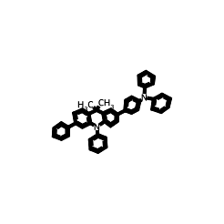 CC1(C)c2ccc(-c3ccccc3)cc2N(c2ccccc2)c2ccc(-c3ccc(N(c4ccccc4)c4ccccc4)cc3)cc21